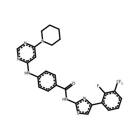 O=C(Nc1nc(-c2cccc(C(F)(F)F)c2F)cs1)c1ccc(Nc2cc(N3CCCCC3)ncn2)cc1